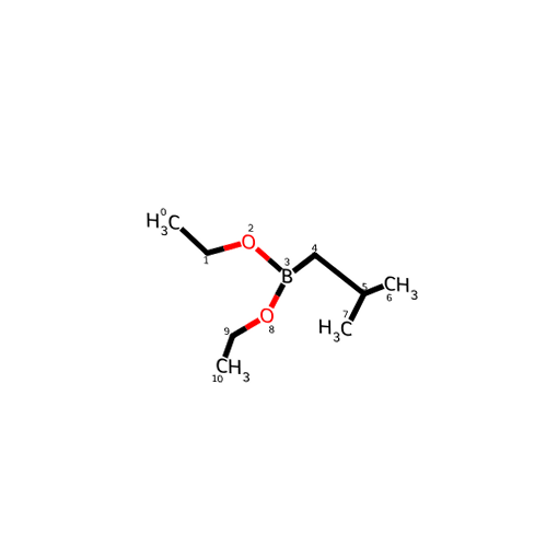 CCOB(CC(C)C)OCC